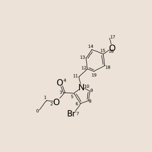 CCOC(=O)c1c(Br)ccn1Cc1ccc(OC)cc1